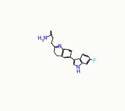 C=C(N)CCC1=Nc2ccc(-c3c[nH]c4cc(F)ccc34)cc2CC1